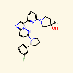 CCC1(O)CCN(c2cccc(-c3cnc4ccc(N5CCC[C@@H]5c5cccc(F)c5)nn34)n2)CC1